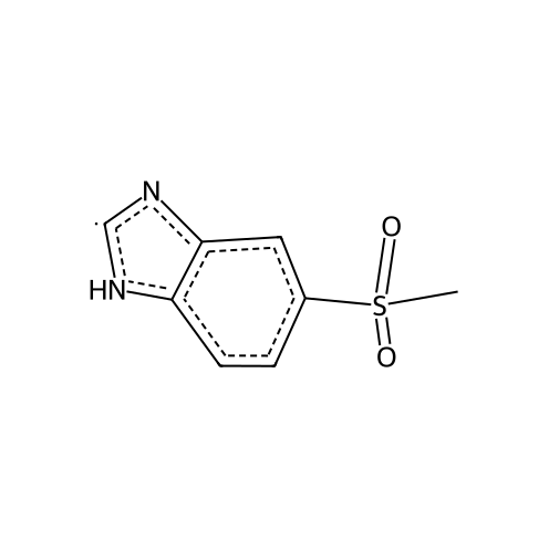 CS(=O)(=O)c1ccc2[nH][c]nc2c1